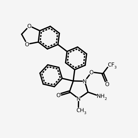 CN1C(=O)C(c2ccccc2)(c2cccc(-c3ccc4c(c3)OCO4)c2)N(OC(=O)C(F)(F)F)C1N